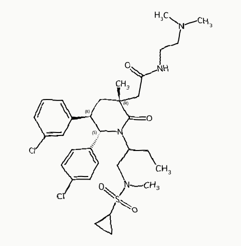 CCC(CN(C)S(=O)(=O)C1CC1)N1C(=O)[C@@](C)(CC(=O)NCCN(C)C)C[C@H](c2cccc(Cl)c2)[C@H]1c1ccc(Cl)cc1